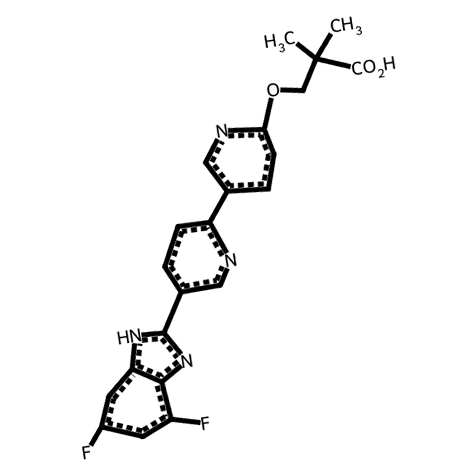 CC(C)(COc1ccc(-c2ccc(-c3nc4c(F)cc(F)cc4[nH]3)cn2)cn1)C(=O)O